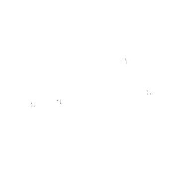 CN1CCN(c2ccc(-c3ccc4nccc(Cl)c4c3)cc2)CC1